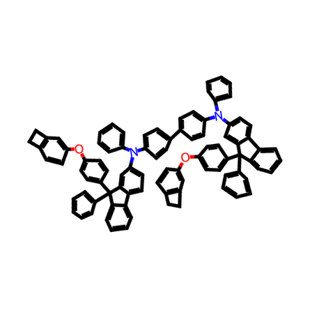 c1ccc(N(c2ccc(-c3ccc(N(c4ccccc4)c4ccc5c(c4)C(c4ccccc4)(c4ccc(Oc6ccc7c(c6)CC7)cc4)c4ccccc4-5)cc3)cc2)c2ccc3c(c2)C(c2ccccc2)(c2ccc(Oc4ccc5c(c4)CC5)cc2)c2ccccc2-3)cc1